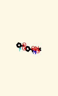 CN(CC(O)c1ccc(OC(=O)c2ccccc2F)cc1)C(=O)OC(C)(C)C